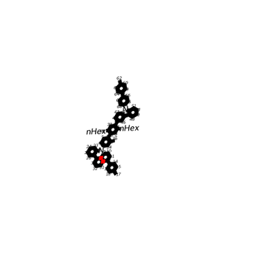 CCCCCCc1cc(-c2ccc(N(c3ccc(-c4ccc(C)cc4)cc3)c3ccccc3-c3ccccc3)cc2C)c(CCCCCC)cc1-c1ccc2c(c1)c1ccccc1n2-c1ccc(-c2ccc(C)cc2)cc1